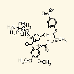 C=C1C[C@@H](CO[Si](C)(C)C(C)(C)C)N(C(=O)c2cc(OC)c(OC)cc2NC(=O)OC[C@@H](C)SSc2ccc([N+](=O)[O-])cn2)C1